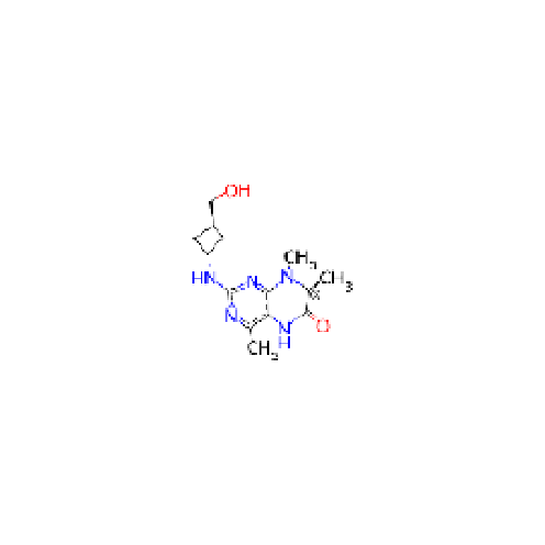 Cc1nc(N[C@H]2C[C@H](CO)C2)nc2c1NC(=O)[C@H](C)N2C